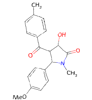 COc1ccc(C2C(C(=O)c3ccc(C)cc3)C(O)C(=O)N2C)cc1